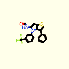 O=CNc1cc2scc(-c3ccccc3)c2n1-c1cccc(C(F)(F)F)c1